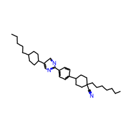 CCCCCCCC1(C#N)CCC(c2ccc(-c3ncc(C4CCC(CCCCC)CC4)cn3)cc2)CC1